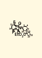 CCOC(=O)C1(c2cccc(N3C(=O)c4c(F)ccc(F)c4C3=O)c2)CCC1